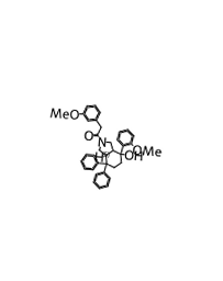 COc1cccc(CC(=O)N2CC3[C@H](C2)C(c2ccccc2)(c2ccccc2)CCC3(O)c2ccccc2OC)c1